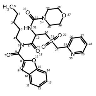 CCCCCN(C(=O)c1nc2ccccc2o1)C(=O)C(CS(=O)(=O)Cc1ccccn1)NC(=O)N1CCOCC1